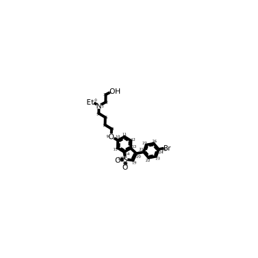 CCN(CCO)CCCCOc1ccc2c(c1)S(=O)(=O)C=C2c1ccc(Br)cc1